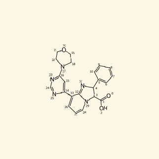 O=C(O)C1C(c2ccccc2)N=C2C(c3cc(N4CCOCC4)ncn3)=CC=CN21